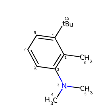 Cc1c(N(C)C)[c]ccc1C(C)(C)C